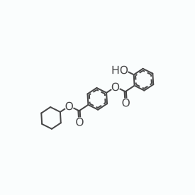 O=C(OC1CCCCC1)c1ccc(OC(=O)c2ccccc2O)cc1